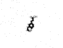 O=C(O)CCc1ccc2c(c1)CC=NS2